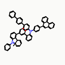 CC12C=CC=CC1c1c(-c3cccc(-c4ccccc4N(c4ccc(-c5ccc(-c6ccccc6)cc5)cc4)c4ccc(-c5cc6ccccc6c6ccccc56)cc4)c3)cccc1N2c1ccccc1